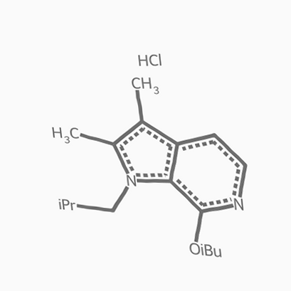 Cc1c(C)n(CC(C)C)c2c(OCC(C)C)nccc12.Cl